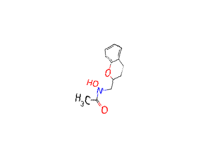 CC(=O)N(O)CC1CCc2ccccc2O1